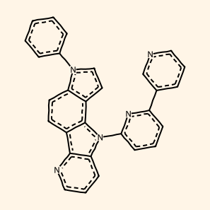 c1ccc(-n2ccc3c2ccc2c4ncccc4n(-c4cccc(-c5cccnc5)n4)c23)cc1